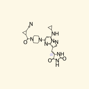 N#CC1CC1C(=O)N1CCN(c2cc(NC3CC3)n3ncc(/C=C4\NC(=O)NC4=O)c3n2)CC1